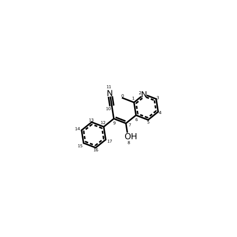 Cc1ncccc1C(O)=C(C#N)c1ccccc1